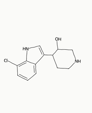 OC1CNCCC1c1c[nH]c2c(Cl)cccc12